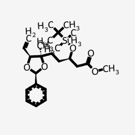 C=C[C@@H]1O[C@H](c2ccccc2)O[C@]1(C)CC[C@H](CC(=O)OC)O[Si](C)(C)C(C)(C)C